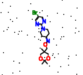 CC1(CON=C2CCN(c3ncc(Br)cn3)CC2)COC(C)(C)OC1